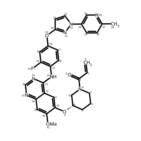 C=CC(=O)N1CCC[C@H](Oc2cc3c(Nc4ccc(Oc5ccn(-c6ccc(C)nc6)n5)cc4F)ncnc3cc2OC)C1